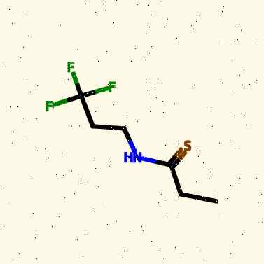 CCC(=S)NCCC(F)(F)F